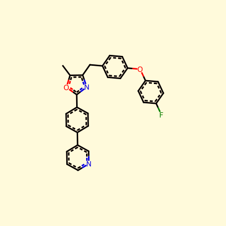 Cc1oc(-c2ccc(-c3cccnc3)cc2)nc1Cc1ccc(Oc2ccc(F)cc2)cc1